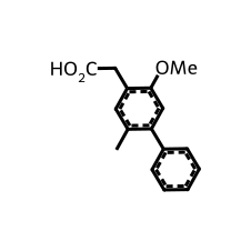 COc1cc(-c2ccccc2)c(C)cc1CC(=O)O